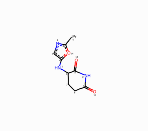 CC(C)c1ncc(NC2CCC(=O)NC2=O)o1